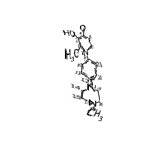 Cc1c(O)c(=O)ccn1-c1ccc(N2CCN(C)CC2)cc1